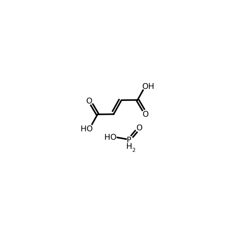 O=C(O)C=CC(=O)O.O=[PH2]O